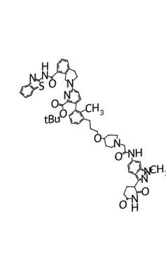 Cc1c(CCCOC2CCN(CC(=O)Nc3ccc4c(C5CCC(=O)NC5=O)nn(C)c4c3)CC2)cccc1-c1ccc(N2CCc3cccc(C(=O)Nc4nc5ccccc5s4)c3C2)nc1C(=O)OC(C)(C)C